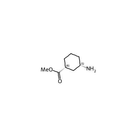 COC(=O)[C@@H]1CCC[C@H](N)C1